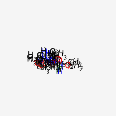 CC(C)OCCCNC(=O)[C@H](CC(F)F)NC(=O)[C@@H]1[C@@H]2[C@H](CN1C(=O)[C@@H](NC(=O)N[C@H](CN(C)S(C)(=O)=O)C(C)(C)C)C(C)(C)C)C2(C)C